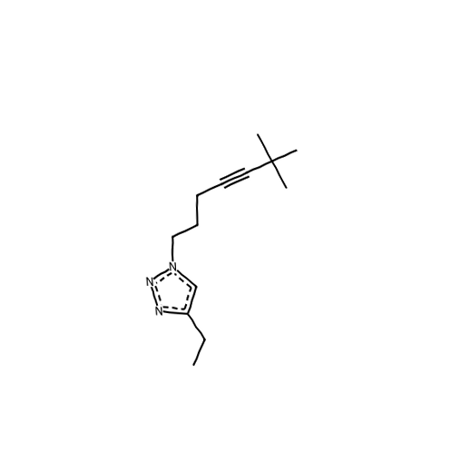 CCc1cn(CCCC#CC(C)(C)C)nn1